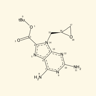 CC(C)(C)OC(=O)c1nc2c(N)nc(N)nc2n1C[C@H]1CO1